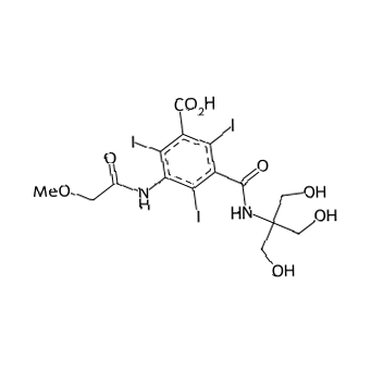 COCC(=O)Nc1c(I)c(C(=O)O)c(I)c(C(=O)NC(CO)(CO)CO)c1I